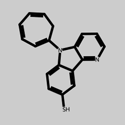 Sc1ccc2c(c1)c1ncccc1n2C1=CC=CC=CC1